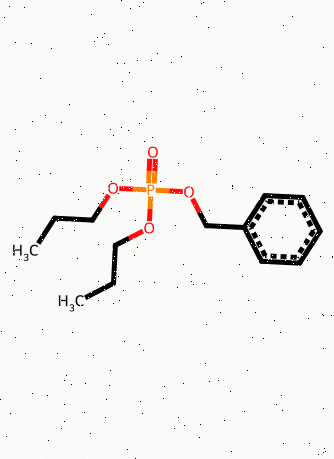 CCCOP(=O)(OCCC)OCc1ccccc1